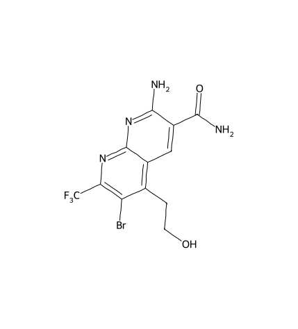 NC(=O)c1cc2c(CCO)c(Br)c(C(F)(F)F)nc2nc1N